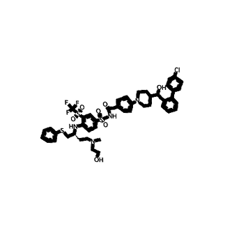 CN(CCO)CC[C@H](CSc1ccccc1)Nc1ccc(S(=O)(=O)NC(=O)c2ccc(N3CCC(C(O)c4ccccc4-c4ccc(Cl)cc4)CC3)cc2)cc1S(=O)(=O)C(F)(F)F